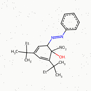 CCC(C)(C)C1=CC(N=Nc2ccccc2)C(O)([N+](=O)[O-])C(C(C)(C)CC)=C1